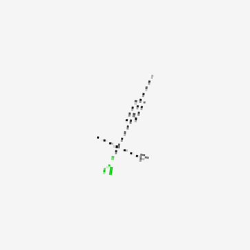 CC#CC(C)(Cl)CC